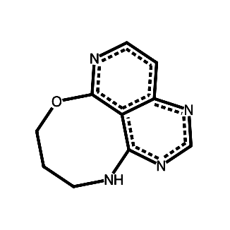 c1cc2ncnc3c2c(n1)OCCCN3